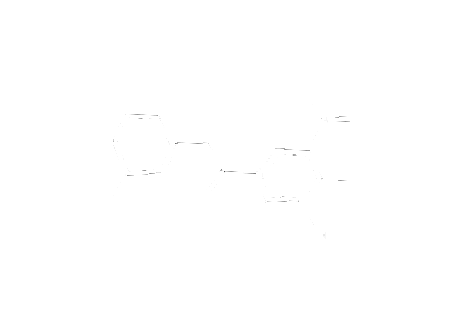 Cc1cccc(CC(=O)c2cc(O)c(O)c([N+](=O)[O-])c2)c1